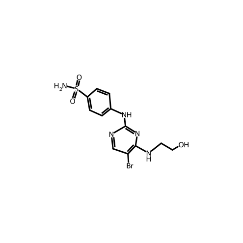 NS(=O)(=O)c1ccc(Nc2ncc(Br)c(NCCO)n2)cc1